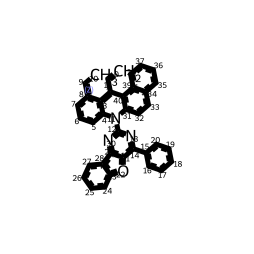 C=CC1=c2c(ccc/c2=C/C)N(c2nc(-c3ccccc3)c3oc4ccccc4c3n2)c2ccc3ccccc3c21